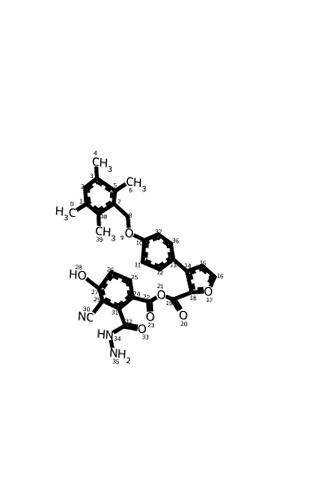 Cc1cc(C)c(C)c(COc2ccc(-c3ccoc3C(=O)OC(=O)c3ccc(O)c(C#N)c3C(=O)NN)cc2)c1C